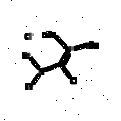 CCCC[N+](CCCC)=C(Cl)N(CC)CC.[Cl-]